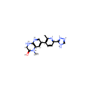 Cc1nc(-c2nnc[nH]2)ccc1-c1cnc2c(c1)N(C(C)C)C(=O)CN2